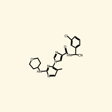 Cc1cnc(NC2CCOCC2)nc1-n1cnc(C(=O)NC(C#N)c2cccc(Cl)c2)c1